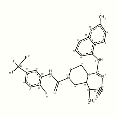 Cc1ccc2c(N/C(=N/C#N)N3CCN(C(=O)Nc4cc(C(F)(F)F)ccc4F)CC3C(C)C)cccc2n1